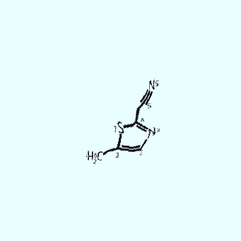 [CH2]c1cnc(C#N)s1